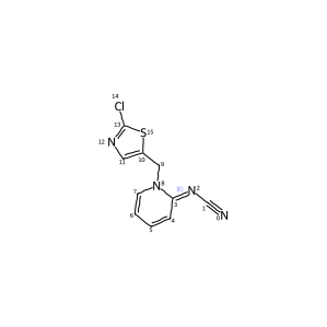 N#C/N=c1\ccccn1Cc1cnc(Cl)s1